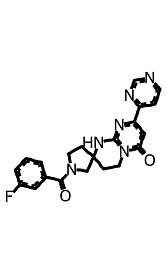 O=C(c1cccc(F)c1)N1CCC2(CCn3c(nc(-c4ccncn4)cc3=O)N2)C1